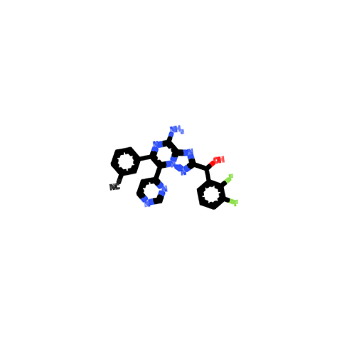 N#Cc1cccc(-c2nc(N)c3nc(C(O)c4cccc(F)c4F)nn3c2-c2ccncn2)c1